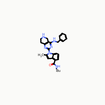 CCC(C)NC(=O)c1cccc2c1cc(C)n2-c1nc2c(c(NCc3ccccc3)n1)CNCC2